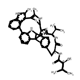 CC1=C2OC(N1)c1nc3oc1C14c5cc(ccc5OC1Nc1c(cccc14)-c1cccc4[nH]c(C)c2c14)C[C@H](NC(=O)[C@@H](O)C(C)C)C(=O)NC3C(C)C